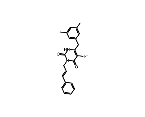 Cc1cc(C)cc(Cc2[nH]c(=O)n(C/C=C/c3ccccc3)c(=O)c2C(C)C)c1